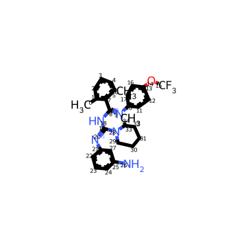 Cc1cccc(C)c1/C(=N\c1ccc(OC(F)(F)F)cc1)N/C(=N/c1cccc(N)c1)N1CCCCC1C